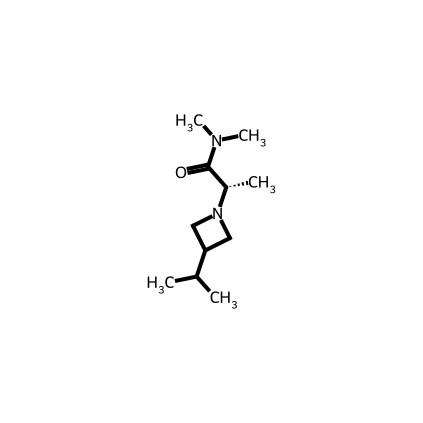 CC(C)C1CN([C@@H](C)C(=O)N(C)C)C1